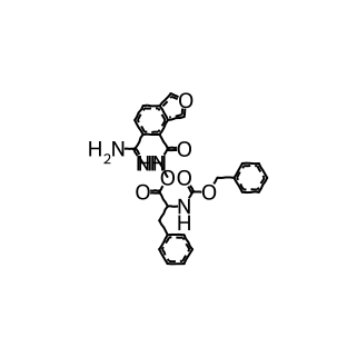 N=C(N)c1ccc2cocc2c1C(=O)NOC(=O)C(Cc1ccccc1)NC(=O)OCc1ccccc1